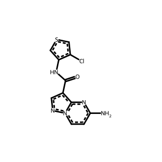 Nc1ccn2ncc(C(=O)Nc3cscc3Cl)c2n1